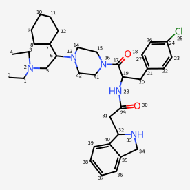 CCN(CC)CC(C1CCCCC1)N1CCN(C(=O)C(Cc2ccc(Cl)cc2)NC(=O)CC2NCc3ccccc32)CC1